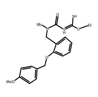 CCOC(S)=[SH]C(=O)N(Cc1ccccc1OCc1ccc(OC)cc1)C(C)(C)C